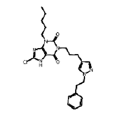 CCCCCn1c(=O)n(CCCc2cnn(CCc3ccccc3)c2)c(=O)c2[nH]c(Cl)nc21